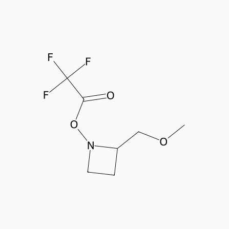 COCC1CCN1OC(=O)C(F)(F)F